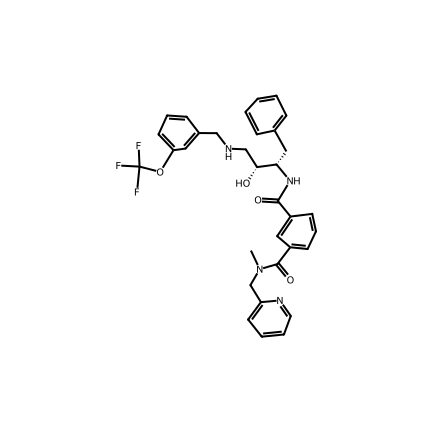 CN(Cc1ccccn1)C(=O)c1cccc(C(=O)N[C@@H](Cc2ccccc2)[C@H](O)CNCc2cccc(OC(F)(F)F)c2)c1